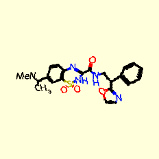 CNC(C)c1ccc2c(c1)S(=O)(=O)NC(C(=O)NCC(c1ccccc1)c1ncco1)=N2